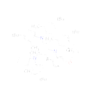 Cc1cc(C(C)(C)C)ccc1N(c1cc2c3c(c1)N1c4c(cc(C(C)(C)C)cc4C4(C)CCCCC14C)B3c1ccc3oc4ccccc4c3c1N2c1c(C)cc(C(C)(C)C)cc1C)c1ccc(C(C)(C)C)cc1C